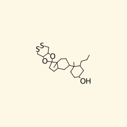 CCCC1CC(O)CCC1(C)C1CCC2(C)C(CCC23OC2CSSCC2O3)C1